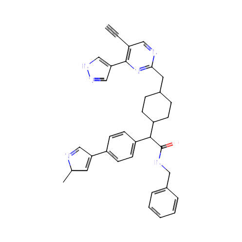 C#Cc1cnc(CC2CCC(C(C(=O)NCc3ccccc3)c3ccc(C4=CC(C)N=C4)cc3)CC2)nc1-c1cn[nH]c1